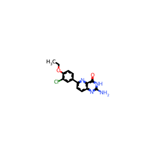 CCOc1ccc(-c2ccc3nc(N)[nH]c(=O)c3n2)cc1Cl